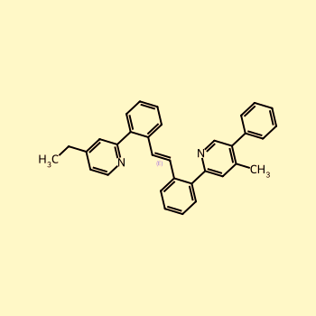 CCc1ccnc(-c2ccccc2/C=C/c2ccccc2-c2cc(C)c(-c3ccccc3)cn2)c1